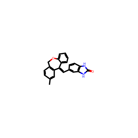 Cc1ccc2c(c1)/C(=C/c1ccc3[nH]c(=O)[nH]c3c1)c1ccccc1OC2